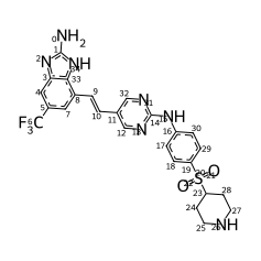 Nc1nc2cc(C(F)(F)F)cc(/C=C/c3cnc(Nc4ccc(S(=O)(=O)C5CCNCC5)cc4)nc3)c2[nH]1